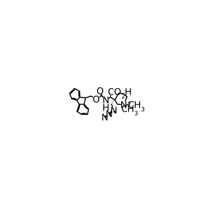 C[N+]1(C)CCC[C@](CN=[N+]=[N-])([C@@H](NC(=O)OCC2c3ccccc3-c3ccccc32)C(=O)O)C1